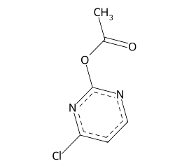 CC(=O)Oc1nccc(Cl)n1